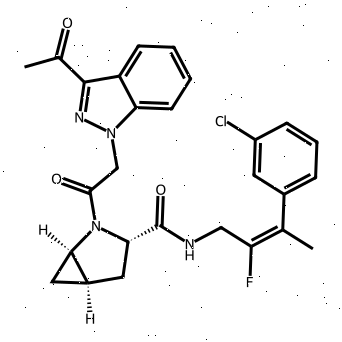 CC(=O)c1nn(CC(=O)N2[C@@H]3C[C@@H]3C[C@H]2C(=O)NC/C(F)=C(/C)c2cccc(Cl)c2)c2ccccc12